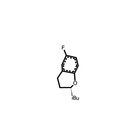 CCC(C)[C@@H]1CCc2cc(F)ccc2O1